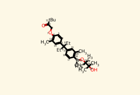 CCC(CC)(c1ccc(OCC(=O)C(C)(C)C)c(C)c1)c1ccc(B(C)OC(C)(C)C(C)(C)O)c(C)c1